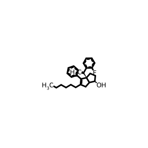 C=C(c1ccccc1F)[C@@]12CC[C@@H](O)C1CC(CCCCCC)=C2c1ccccc1